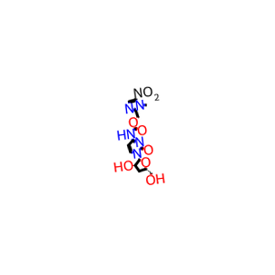 Cn1c([N+](=O)[O-])cnc1COC(=O)Nc1ccn([C@@H]2O[C@H](CO)C[C@@H]2O)c(=O)n1